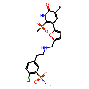 CCc1cc(-c2ccc(CNCCc3ccc(Cl)c(S(N)(=O)=O)c3)o2)c(S(C)(=O)=O)[nH]c1=O